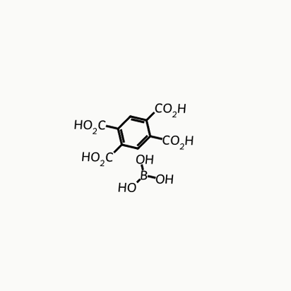 O=C(O)c1cc(C(=O)O)c(C(=O)O)cc1C(=O)O.OB(O)O